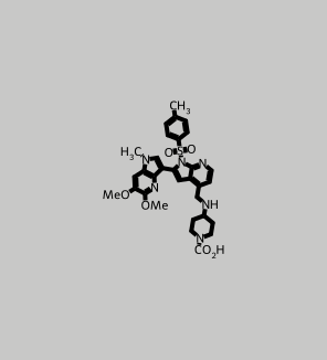 COc1cc2c(nc1OC)c(-c1cc3c(CNC4CCN(C(=O)O)CC4)ccnc3n1S(=O)(=O)c1ccc(C)cc1)cn2C